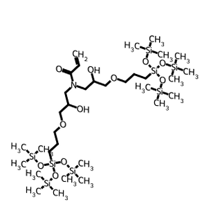 C=CC(=O)N(CC(O)COCCC[Si](O[Si](C)(C)C)(O[Si](C)(C)C)O[Si](C)(C)C)CC(O)COCCC[Si](O[Si](C)(C)C)(O[Si](C)(C)C)O[Si](C)(C)C